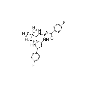 CC(C)(C)CN/C(=N/C(=O)c1ccc(F)cc1)NC1CC(c2ccc(F)cc2)NN1